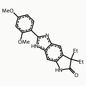 CCC1(CC)C(=O)Nc2cc3[nH]c(-c4ccc(OC)cc4OC)nc3cc21